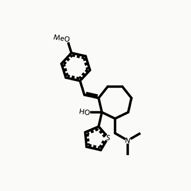 COc1ccc(C=C2CCCCC(CN(C)C)C2(O)c2cccs2)cc1